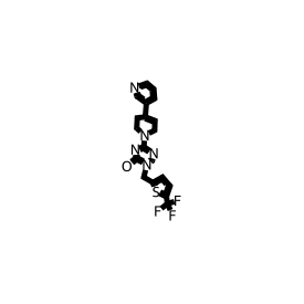 O=c1nc(N2CC=C(c3cccnc3)CC2)ncn1Cc1ccc(C(F)(F)F)s1